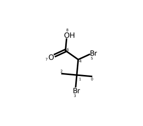 CC(C)(Br)C(Br)C(=O)O